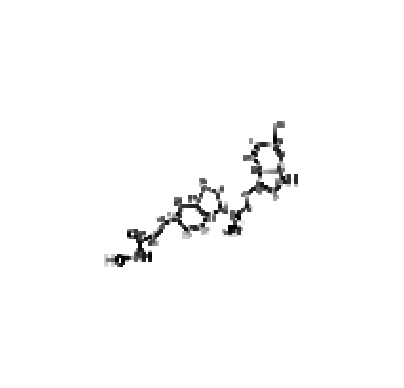 CCN(CCc1c[nH]c2cc(C)ccc12)C1CCc2cc(/C=C/C(=O)NO)ccc21